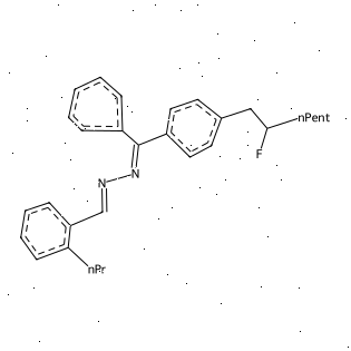 CCCCCC(F)Cc1ccc(C(=NN=Cc2ccccc2CCC)c2ccccc2)cc1